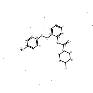 CC1CCC(C(=O)Oc2ccccc2CCc2ccc(C#N)cc2)CC1